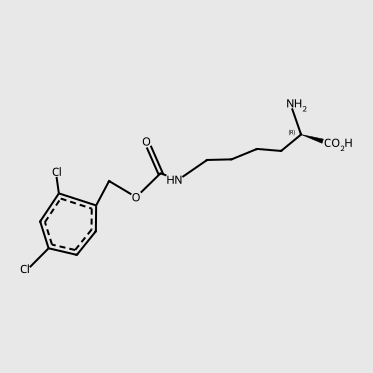 N[C@H](CCCCNC(=O)OCc1ccc(Cl)cc1Cl)C(=O)O